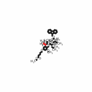 CCOC(=O)CCCCOc1cc(OC)c(CN(C(=O)[C@H](CC(C)C)NC(=O)[C@@H](NC(=O)OCC2c3ccccc3-c3ccccc32)C(C)(C)C)C(CC(F)(F)F)C(C)(OC)OC)c(OC)c1